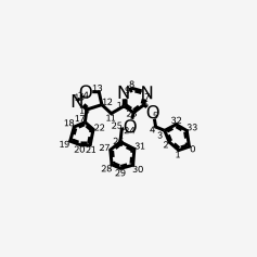 c1ccc(COc2ncnc(CC3CON=C3c3ccccc3)c2OCc2ccccc2)cc1